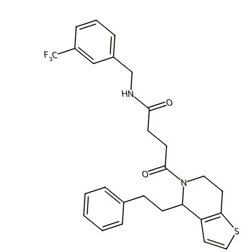 O=C(CCC(=O)N1CCc2sccc2C1CCc1ccccc1)NCc1cccc(C(F)(F)F)c1